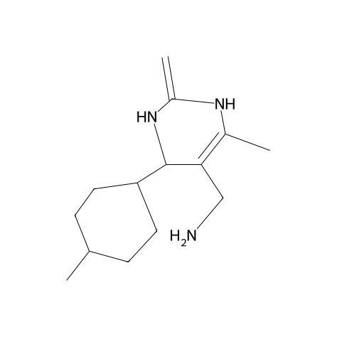 C=C1NC(C)=C(CN)C(C2CCC(C)CC2)N1